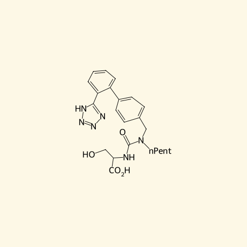 CCCCCN(Cc1ccc(-c2ccccc2-c2nnn[nH]2)cc1)C(=O)NC(CO)C(=O)O